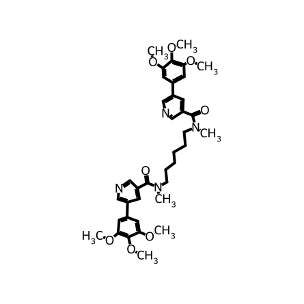 COc1cc(-c2cncc(C(=O)N(C)CCCCCCN(C)C(=O)c3cncc(-c4cc(OC)c(OC)c(OC)c4)c3)c2)cc(OC)c1OC